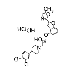 Cc1cnc(-c2cc3c(OC[C@@H](O)CN4CCC(c5ccc(Cl)c(Cl)c5)CC4)cccc3o2)o1.Cl.Cl